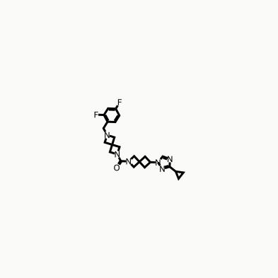 O=C(N1CC2(CC(n3cnc(C4CC4)n3)C2)C1)N1CC2(CN(Cc3ccc(F)cc3F)C2)C1